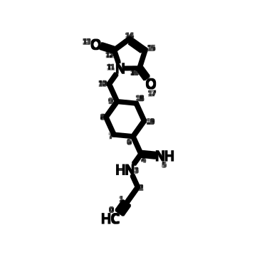 C#CCNC(=N)C1CCC(CN2C(=O)C=CC2=O)CC1